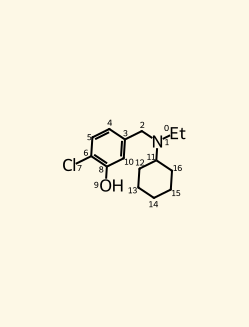 CCN(Cc1ccc(Cl)c(O)c1)C1CCCCC1